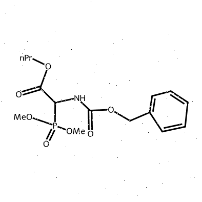 CCCOC(=O)C(NC(=O)OCc1ccccc1)P(=O)(OC)OC